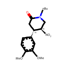 CCCCN1C[C@@H]([N+](=O)[O-])[C@H](c2ccc(OC)c(OC)c2)CC1=O